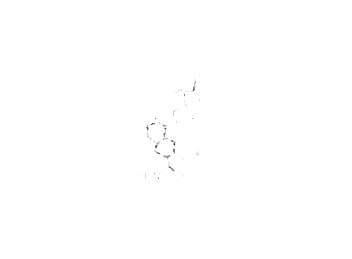 CC(C)Oc1cc2c(OC[C@H]3NC(=O)C[C@H]3C)nccc2cc1C(N)=O